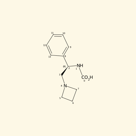 O=C(O)N[C@@H](CN1CCC1)c1ccccc1